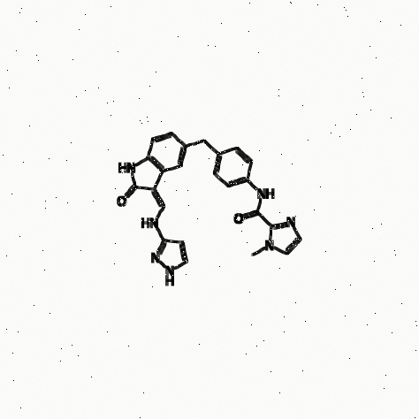 Cn1ccnc1C(=O)Nc1ccc(Cc2ccc3c(c2)/C(=C/Nc2cc[nH]n2)C(=O)N3)cc1